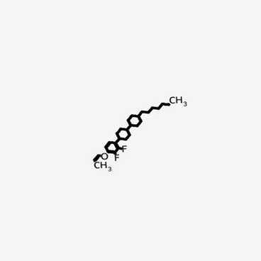 C/C=C\Oc1ccc(C2CCC(C3CCC(CCCCCCC)CC3)CC2)c(F)c1F